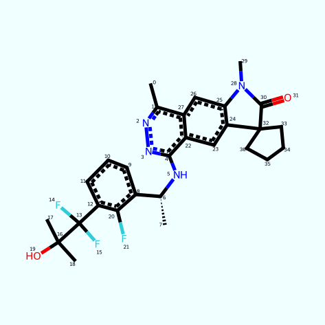 Cc1nnc(N[C@H](C)c2cccc(C(F)(F)C(C)(C)O)c2F)c2cc3c(cc12)N(C)C(=O)C31CCCC1